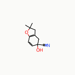 CC1(C)CC2=C(C=CC(O)(C#N)C2)O1